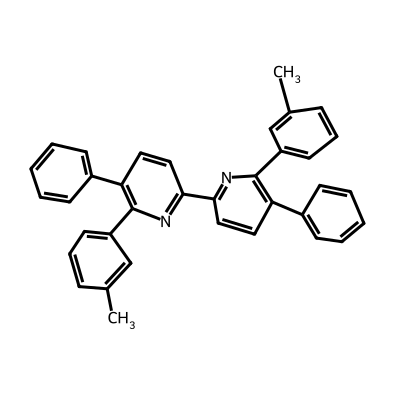 Cc1cccc(-c2nc(-c3ccc(-c4ccccc4)c(-c4cccc(C)c4)n3)ccc2-c2ccccc2)c1